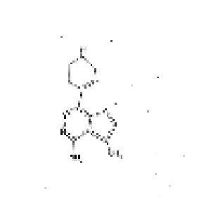 Cc1csc2c(C3=CCNCC3)cnc(N)c12